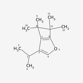 CC(C)c1coc2c1C(C)(C)C2(C)C